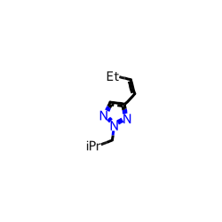 CC/C=C\c1cnn(CC(C)C)n1